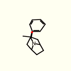 CC1(C)CC2CCC(C1)N2Cc1ccccc1